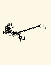 CCCCCCCCCCCCCCCCCCOC[C@H](COP(=O)(O)OC[C@H]1O[C@@](C#N)(c2ccc3c(N)ccnn23)[C@H](O)[C@@H]1O)OCc1ccc(F)c(Cl)c1